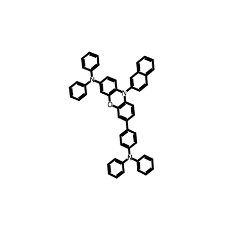 c1ccc(N(c2ccccc2)c2ccc(-c3ccc4c(c3)Oc3cc(N(c5ccccc5)c5ccccc5)ccc3N4c3ccc4ccccc4c3)cc2)cc1